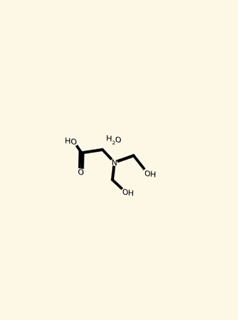 O.O=C(O)CN(CO)CO